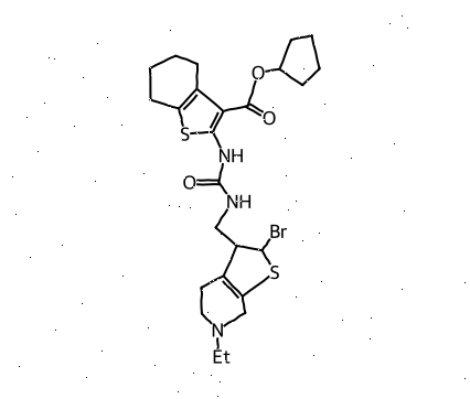 CCN1CCC2=C(C1)SC(Br)C2CNC(=O)Nc1sc2c(c1C(=O)OC1CCCC1)CCCC2